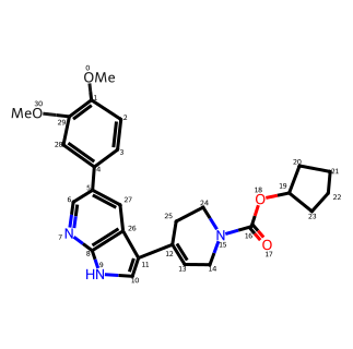 COc1ccc(-c2cnc3[nH]cc(C4=CCN(C(=O)OC5CCCC5)CC4)c3c2)cc1OC